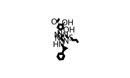 CCCSc1nc(NC2CC2c2ccccc2)c2nnn([C@@H]3C[C@H](C(C)=O)[C@@H](O)[C@H]3O)c2n1